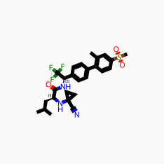 Cc1cc(S(C)(=O)=O)ccc1-c1ccc([C@H](NC(=O)[C@H](CC(C)C)NC2(C#N)CC2)C(F)(F)F)cc1